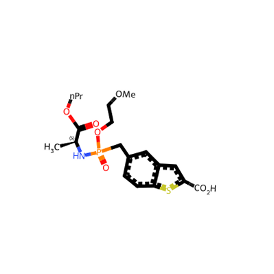 CCCOC(=O)[C@H](C)NP(=O)(Cc1ccc2sc(C(=O)O)cc2c1)OCCOC